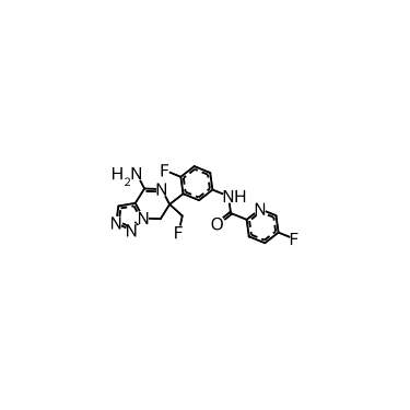 NC1=NC(CF)(c2cc(NC(=O)c3ccc(F)cn3)ccc2F)Cn2nncc21